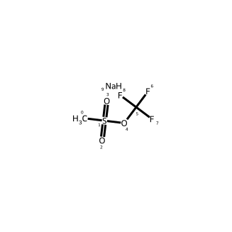 CS(=O)(=O)OC(F)(F)F.[NaH]